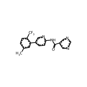 Cc1ccc(C(F)(F)F)c(-c2ccc(NC(=O)c3cncnc3)nc2)c1